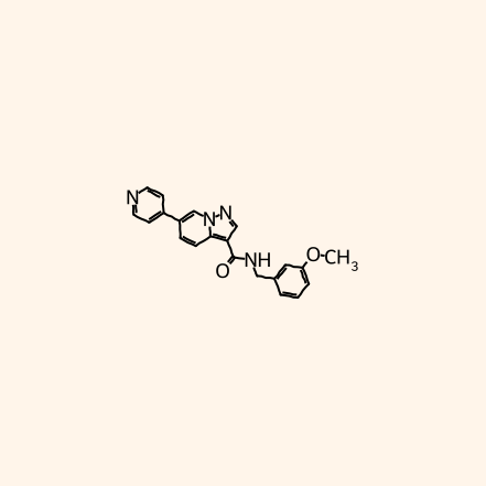 COc1cccc(CNC(=O)c2cnn3cc(-c4ccncc4)ccc23)c1